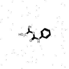 CC(C)C(OC(=O)Nc1ccccc1)C(=O)O